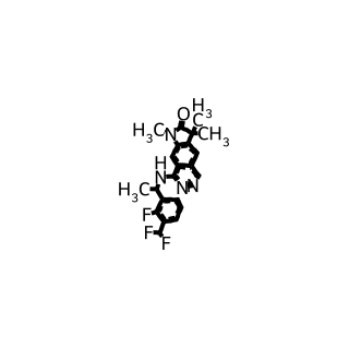 CC(Nc1nncc2cc3c(cc12)N(C)C(=O)C3(C)C)c1cccc(C(F)F)c1F